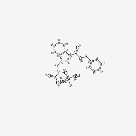 COC(=O)[C@H](Cc1cn(C(=O)OCc2ccccc2)c2ccccc12)O[Si](C)(C)C(C)(C)C